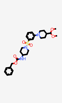 COC(OC)C1CCN(c2cccc(S(=O)(=O)N3CCC(NC(=O)OCc4ccccc4)CC3)c2)CC1